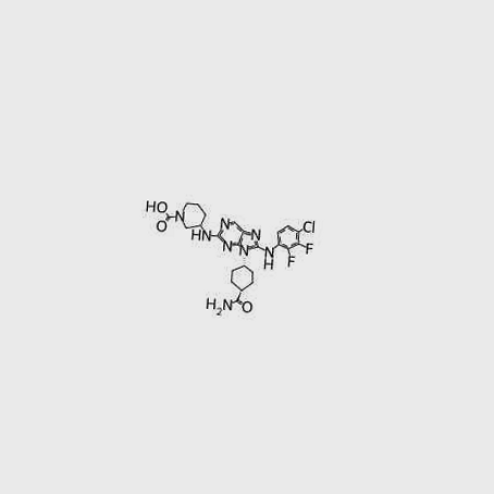 NC(=O)[C@H]1CC[C@H](n2c(Nc3ccc(Cl)c(F)c3F)nc3cnc(NC4CCCN(C(=O)O)C4)nc32)CC1